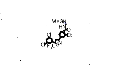 CCc1cc(C2=NOC(c3cc(Cl)cc(Cl)c3)(C(F)(F)F)C2)ccc1C(=O)N/C=N\OC